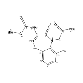 CCCCC(=O)CN1C(=O)C(NC(=O)OC(C)(C)C)=NCc2cccc(C)c21